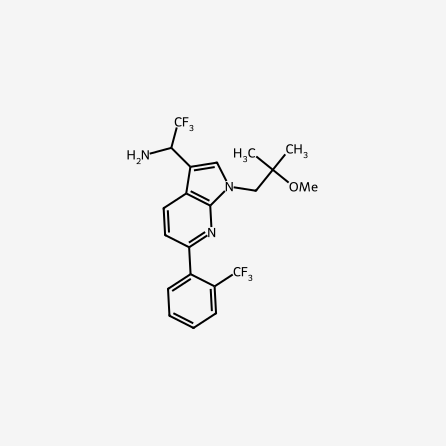 COC(C)(C)Cn1cc(C(N)C(F)(F)F)c2ccc(-c3ccccc3C(F)(F)F)nc21